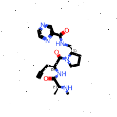 C#CC[C@H](NC(=O)[C@H](C)NC)C(=O)N1CCC[C@H]1CNC(=O)c1cnccn1